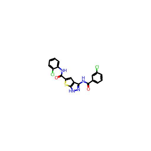 O=C(Nc1n[nH]c2sc(C(=O)Nc3ccccc3Cl)cc12)c1cccc(Cl)c1